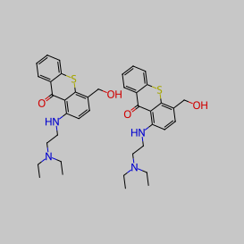 CCN(CC)CCNc1ccc(CO)c2sc3ccccc3c(=O)c12.CCN(CC)CCNc1ccc(CO)c2sc3ccccc3c(=O)c12